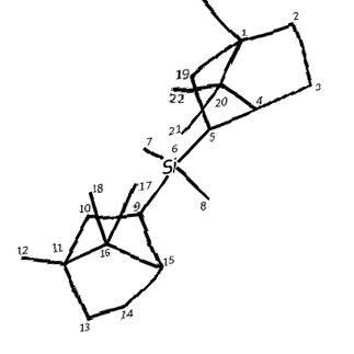 CC12CCC(C([Si](C)(C)C3CC4(C)CCC3C4(C)C)C1)C2(C)C